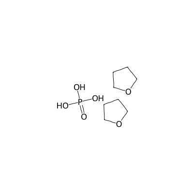 C1CCOC1.C1CCOC1.O=P(O)(O)O